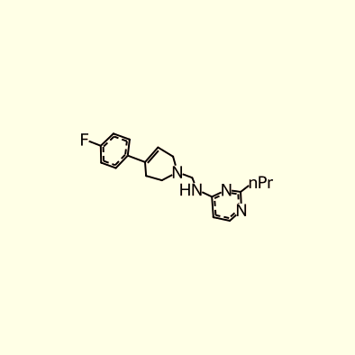 CCCc1nccc(NCN2CC=C(c3ccc(F)cc3)CC2)n1